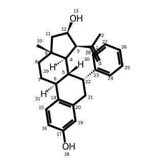 C=C(C)[C@H]1[C@H]2[C@H]3[C@H](CC[C@]2(C)C[C@H]1O)c1ccc(O)cc1C[C@H]3c1ccccc1